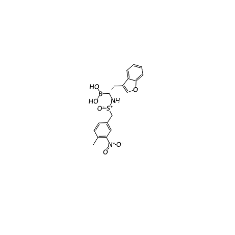 Cc1ccc(C[S+]([O-])N[C@@H](Cc2coc3ccccc23)B(O)O)cc1[N+](=O)[O-]